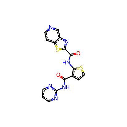 O=C(Nc1sccc1C(=O)Nc1ncccn1)c1nc2cnccc2s1